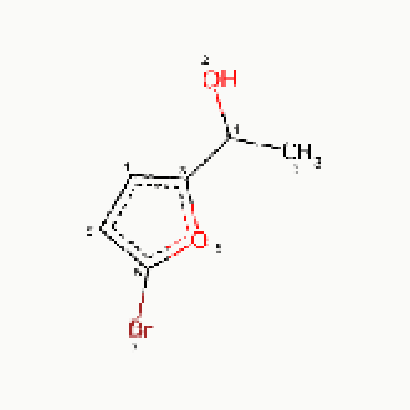 CC(O)c1ccc(Br)o1